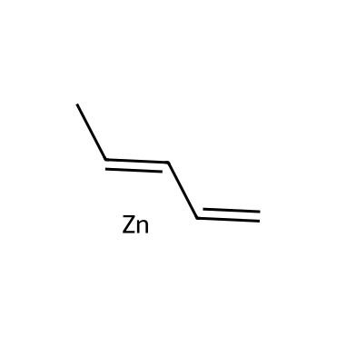 C=CC=CC.[Zn]